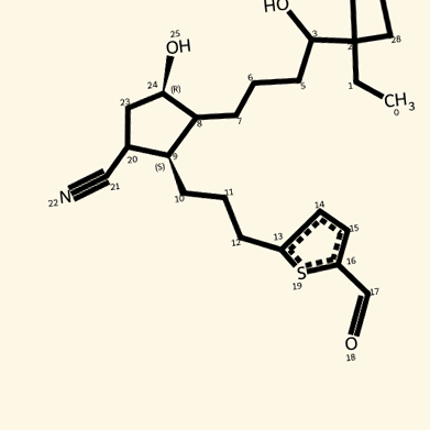 CCC1(C(O)CCCC2[C@@H](CCCc3ccc(C=O)s3)C(C#N)C[C@H]2O)CCC1